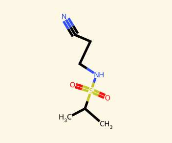 CC(C)S(=O)(=O)NCCC#N